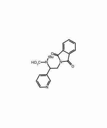 CC(C)(C)N(C(=O)O)C(CN1C(=O)c2ccccc2C1=O)c1cccnc1